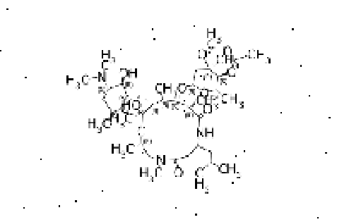 CO[C@]1(C)C[C@H](O[C@H]2[C@H](C)[C@@H](C[C@@H]3O[C@H](C)C[C@H](N(C)C)[C@H]3O)[C@](C)(O)C[C@@H](C)CN(C)C(=O)CC(CC(C)C)NC(=O)[C@@H]2C)O[C@@H](C)[C@@H]1OC(C)=O